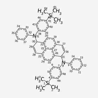 C[Si](C)(C)c1ccc(N(c2ccccc2)C2C=Cc3ccc4c5c(ccc2c35)C=CC4N(c2ccccc2)c2ccc([Si](C)(C)C)cc2)cc1